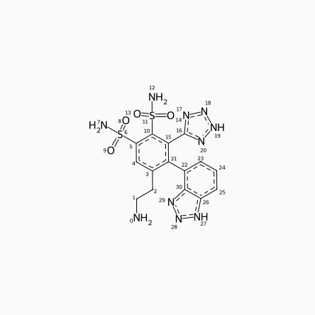 NCCc1cc(S(N)(=O)=O)c(S(N)(=O)=O)c(-c2nn[nH]n2)c1-c1cccc2[nH]nnc12